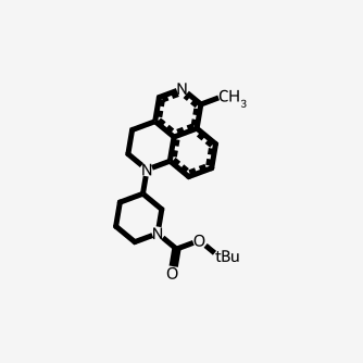 Cc1ncc2c3c(cccc13)N(C1CCCN(C(=O)OC(C)(C)C)C1)CC2